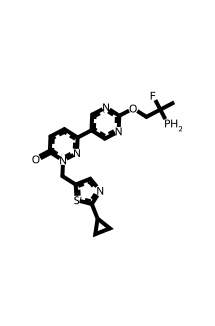 CC(F)(P)COc1ncc(-c2ccc(=O)n(Cc3cnc(C4CC4)s3)n2)cn1